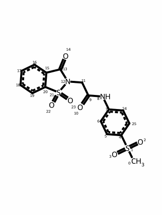 CS(=O)(=O)c1ccc(NC(=O)CN2C(=O)c3ccccc3S2(=O)=O)cc1